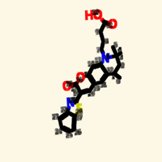 CC1CC(C)(C)N(CCCC(=O)O)c2cc3oc(=O)c(-c4nc5ccccc5s4)cc3cc21